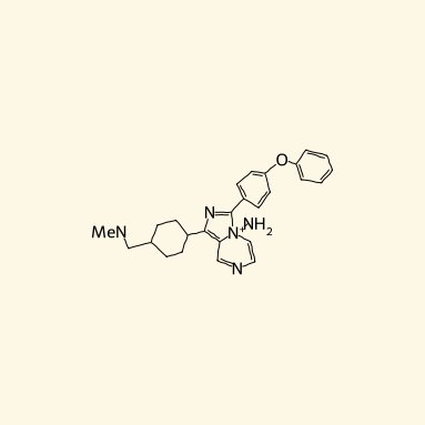 CNCC1CCC(C2=C3C=NC=C[N+]3(N)C(c3ccc(Oc4ccccc4)cc3)=N2)CC1